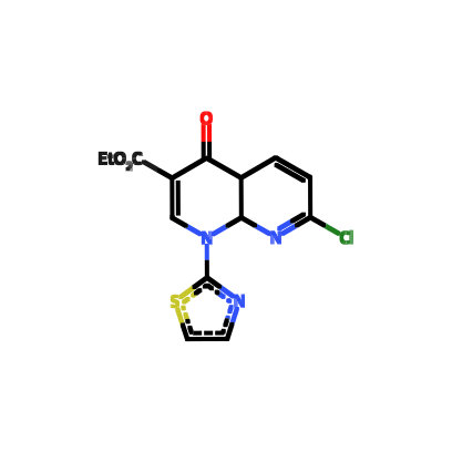 CCOC(=O)C1=CN(c2nccs2)C2N=C(Cl)C=CC2C1=O